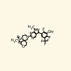 Cn1nc(-c2cc(C(F)(F)F)c(F)c(O)c2F)c2cnc(N3CCN(S(C)(=O)=O)C4(CCOCC4)C3)nc21